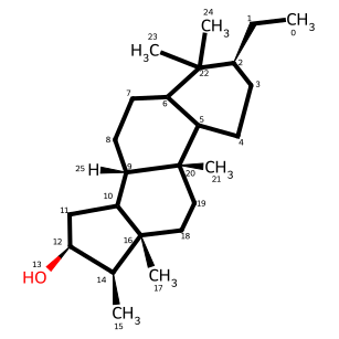 CC[C@H]1CCC2C(CC[C@H]3C4C[C@H](O)[C@H](C)[C@@]4(C)CC[C@@]23C)C1(C)C